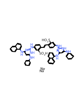 O=S(=O)(O)c1cc(NN2N=C(Nc3cccc4ccccc34)C=C(Nc3ccccc3)N2)ccc1C=Cc1ccc(NN2N=C(Nc3cccc4ccccc34)C=C(Nc3ccccc3)N2)cc1S(=O)(=O)O.[Na].[Na]